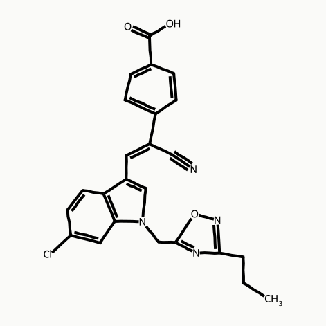 CCCc1noc(Cn2cc(C=C(C#N)c3ccc(C(=O)O)cc3)c3ccc(Cl)cc32)n1